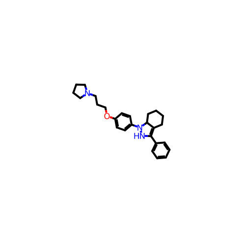 c1ccc(C2=C3CCCCC3N(c3ccc(OCCCN4CCCC4)cc3)N2)cc1